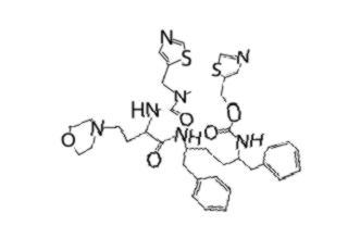 CN(Cc1cncs1)C(=O)NC(CCN1CCOCC1)C(=O)NC(CCC(Cc1ccccc1)NC(=O)OCc1cncs1)Cc1ccccc1